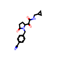 N#Cc1ccc(CN2C(=O)CCC2C(=O)C(=O)NCC2CC2)cc1